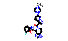 CN1CCN(c2ccc3c(C(=O)N4CCc5[nH]cnc5[C@H]4c4nc5cccc(F)c5o4)cnn3c2)CC1